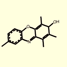 CC1=C(C)C(O)C(C)=C2Oc3ccc(C)cc3N=C12